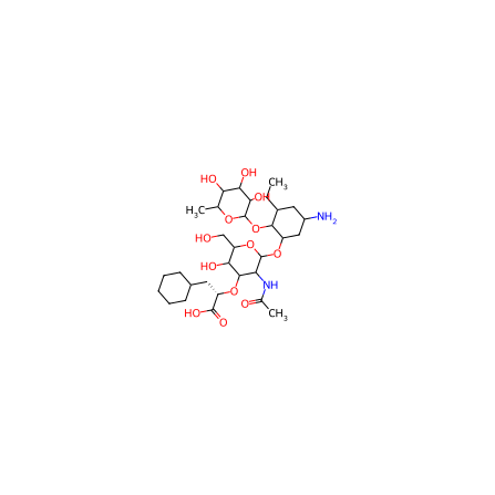 CCC1CC(N)CC(OC2OC(CO)C(O)C(O[C@@H](CC3CCCCC3)C(=O)O)C2NC(C)=O)C1OC1OC(C)C(O)C(O)C1O